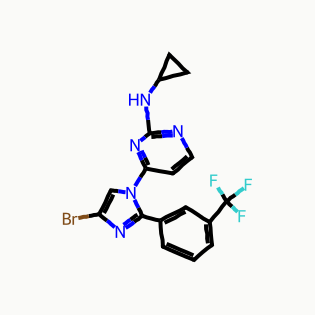 FC(F)(F)c1cccc(-c2nc(Br)cn2-c2ccnc(NC3CC3)n2)c1